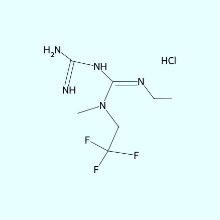 CCN=C(NC(=N)N)N(C)CC(F)(F)F.Cl